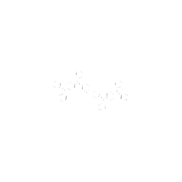 Oc1cc(N(c2ccccc2)c2ccc(N(c3ccccc3)c3ccccc3)cc2)ccc1-c1ccc(N(c2ccccc2)c2ccc(N(c3ccccc3)c3ccccc3)cc2)cn1